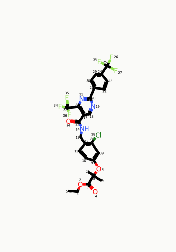 CCOC(=O)C(C)(C)Oc1ccc(CNC(=O)c2cnc(-c3ccc(C(F)(F)F)cc3)nc2C(F)(F)F)c(Cl)c1